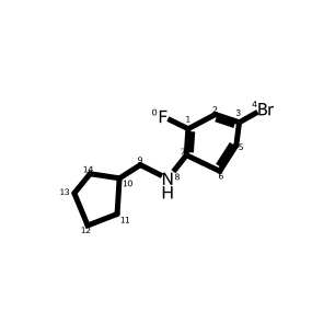 Fc1cc(Br)ccc1NCC1CCCC1